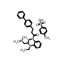 CCN1c2ccccc2N(C(=O)CCc2ccc(-c3ccccc3)cc2)CC1CN(C)C.Cc1ccc(S(=O)(=O)O)cc1